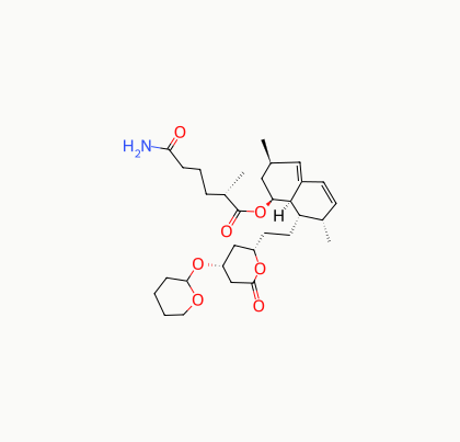 C[C@H]1C=C2C=C[C@H](C)[C@H](CC[C@H]3C[C@@H](OC4CCCCO4)CC(=O)O3)[C@H]2[C@@H](OC(=O)[C@@H](C)CCCC(N)=O)C1